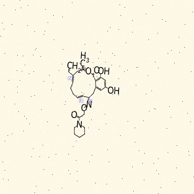 C=C/C1=C\CC/C=C/C(=N\OCC(=O)N2CCCCC2)Cc2cc(O)cc(O)c2C(=O)O[C@H](C)C1